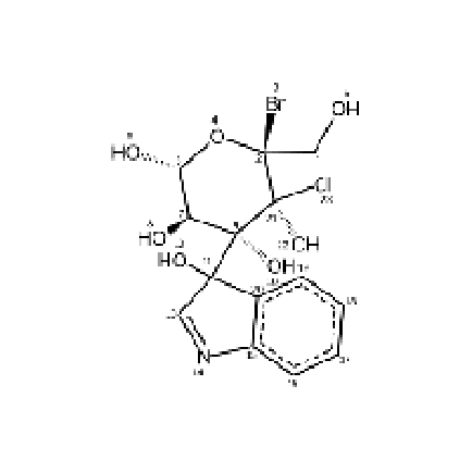 OC[C@@]1(Br)O[C@@H](O)[C@H](O)[C@](O)(C2(O)C=Nc3ccccc32)[C@]1(O)Cl